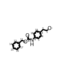 [O]CCc1ccc(NC(=O)OCc2ccccc2)cc1